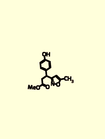 COC(=O)CC(c1ccc(O)cc1)c1cc(C)on1